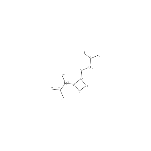 CC(C)OCC1CCC1N(C)C(C)C